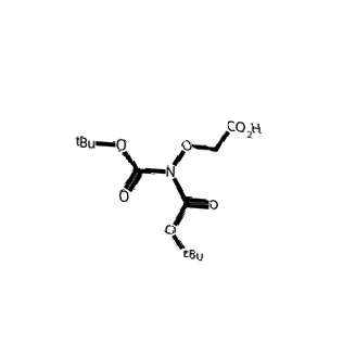 CC(C)(C)OC(=O)N(OCC(=O)O)C(=O)OC(C)(C)C